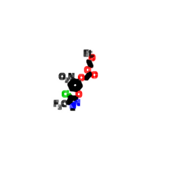 [CH2]COCCOC(=O)COc1cc(Oc2nn(C)c(C(F)(F)F)c2Cl)ccc1[N+](=O)[O-]